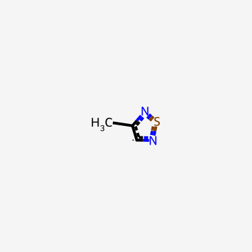 Cc1[c]nsn1